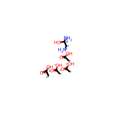 CC(=O)O.CC(=O)O.CC(=O)O.CC(=O)O.NCC(N)O